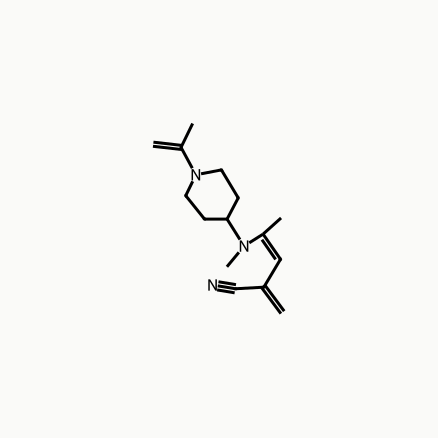 C=C(C#N)/C=C(/C)N(C)C1CCN(C(=C)C)CC1